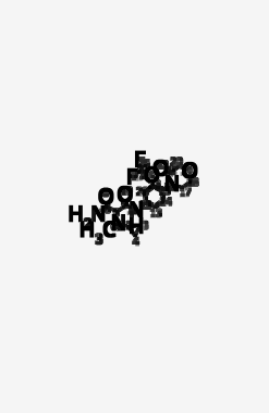 CN(C1CC1)[C@@H](C(N)=O)C(=O)Nc1ccc(N2CCOCC2=O)c(OC(F)F)c1